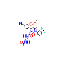 CCOC(=O)C1=C(C)N(c2cccc(C(F)(F)F)c2)C(=O)N(CC(=O)NCCNC(C)=O)C1c1ccc(C#N)cc1